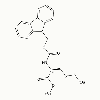 CC(C)(C)OC(=O)[C@H](CSSC(C)(C)C)NC(=O)OCC1c2ccccc2-c2ccccc21